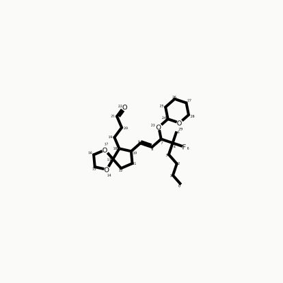 CCCCC(C)(F)C(C=CC1CCC2(OCCO2)C1CCC=O)OC1CCCCO1